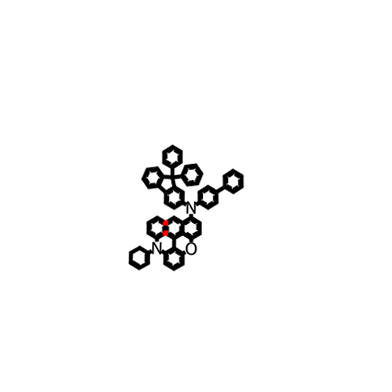 C1=CCCC(N(c2ccccc2)c2cccc3c2-c2cccc4c(N(c5ccc(-c6ccccc6)cc5)c5ccc6c(c5)C(c5ccccc5)(c5ccccc5)c5ccccc5-6)ccc(c24)O3)=C1